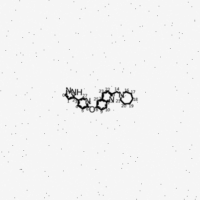 c1cc(-c2ccc(Oc3ccc4nc(CN5CCCCCC5)ccc4c3)nc2)[nH]n1